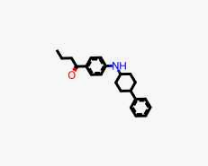 CCCC(=O)c1ccc(NC2CCC(c3ccccc3)CC2)cc1